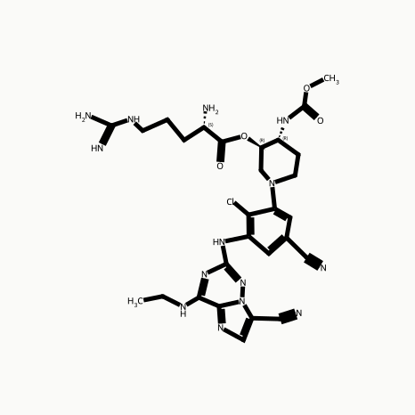 CCNc1nc(Nc2cc(C#N)cc(N3CC[C@@H](NC(=O)OC)[C@H](OC(=O)[C@@H](N)CCCNC(=N)N)C3)c2Cl)nn2c(C#N)cnc12